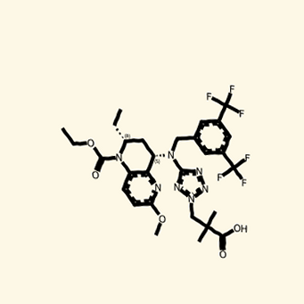 CCOC(=O)N1c2ccc(OC)nc2[C@@H](N(Cc2cc(C(F)(F)F)cc(C(F)(F)F)c2)c2nnn(CC(C)(C)C(=O)O)n2)C[C@H]1CC